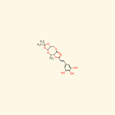 CC1OC2OC(C)(C)OC2COC(=O)C1OC(=O)/C=C/c1cc(O)c(O)c(O)c1